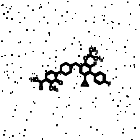 Cc1c(C(=O)O)ccn(C2CCN(Cc3cc(C4CC4)c(-c4ccc(F)cc4)c(F)c3OC(C)C)CC2)c1=O